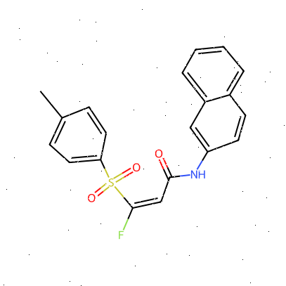 Cc1ccc(S(=O)(=O)C(F)=CC(=O)Nc2ccc3ccccc3c2)cc1